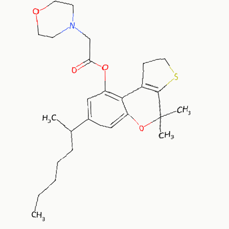 CCCCCC(C)c1cc(OC(=O)CN2CCOCC2)c2c(c1)OC(C)(C)C1=C2CCS1